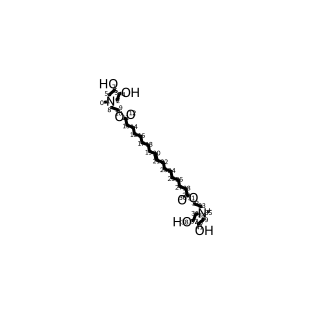 C[N+](CCO)(CCO)CCOC(=O)CCCCCCC/C=C/CCCCCCCC(=O)OCC[N+](C)(CCO)CCO